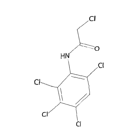 O=C(CCl)Nc1c(Cl)cc(Cl)c(Cl)c1Cl